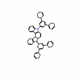 C1=CCCC(C2=CC(C3C4=C(CCC=C4)C4c5c(n(-c6cc(C7=CC=CCC7)cc(C7C=CCCC7)c6)c6ccccc56)C=CC43)CC(C3=CC=CCC3)=C2)=C1